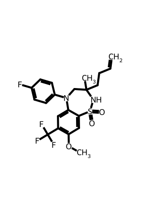 C=CCCC1(C)CN(c2ccc(F)cc2)c2cc(C(F)(F)F)c(OC)cc2S(=O)(=O)N1